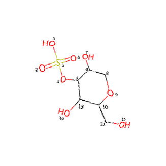 O=S(=O)(O)OC1C(O)COC(CO)C1O